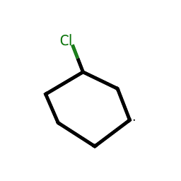 ClC1C[CH]CCC1